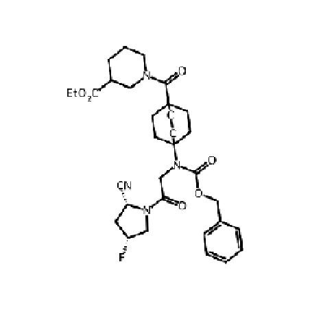 CCOC(=O)C1CCCN(C(=O)C23CCC(N(CC(=O)N4C[C@H](F)C[C@@H]4C#N)C(=O)OCc4ccccc4)(CC2)CC3)C1